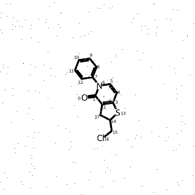 O=c1c2c(ccn1-c1ccccc1)SC(CCl)C2